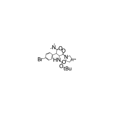 C[C@H]1CCN(C(=O)C(NC(=O)OC(C)(C)C)C(C(=O)N(C)C)c2ccc(Br)cc2)C1